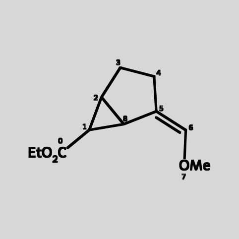 CCOC(=O)C1C2CC/C(=C/OC)C21